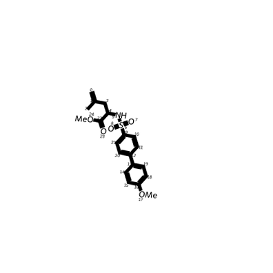 C=C(C)CC(NS(=O)(=O)c1ccc(-c2ccc(OC)cc2)cc1)C(=O)OC